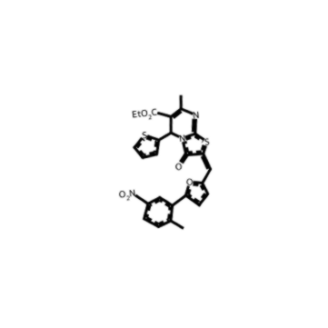 CCOC(=O)C1=C(C)N=c2s/c(=C/c3ccc(-c4cc([N+](=O)[O-])ccc4C)o3)c(=O)n2C1c1cccs1